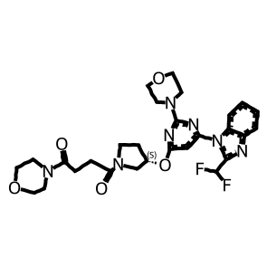 O=C(CCC(=O)N1CC[C@H](Oc2cc(-n3c(C(F)F)nc4ccccc43)nc(N3CCOCC3)n2)C1)N1CCOCC1